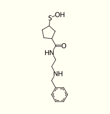 O=C(NCCNCc1ccccc1)C1CCC(SO)C1